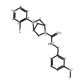 COc1cccc(CNC(=O)N2CC3CC2CN3c2ccncc2F)c1